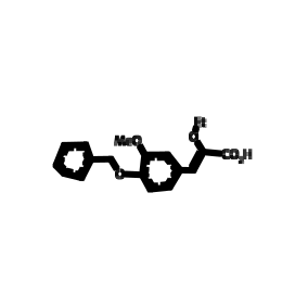 CCO/C(=C\c1ccc(OCc2ccccc2)c(OC)c1)C(=O)O